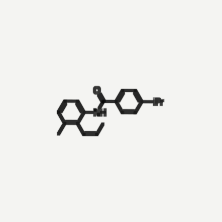 C/C=C\c1c(C)cccc1NC(=O)c1ccc(C(C)C)cc1